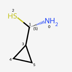 N[C@@H](S)C1CC1